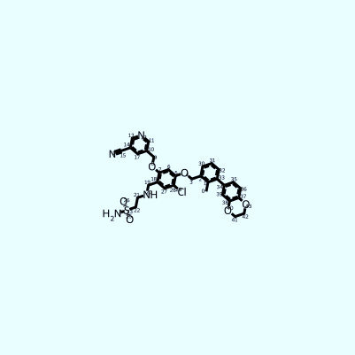 Cc1c(COc2cc(OCc3cncc(C#N)c3)c(CNCCS(N)(=O)=O)cc2Cl)cccc1-c1ccc2c(c1)OCCO2